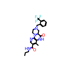 CCCNC(=O)c1cnc2c(c1C)NC(=O)C1CN(Cc3ccccc3C(F)(F)F)CCN21